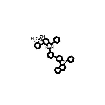 C[Si]1(C)c2ccccc2-c2c1ccc1c(-c3ccccc3)nc(-c3cccc(-c4ccc5c(c4)c4c6ccccc6ccc4n5-c4ccccc4)c3)nc21